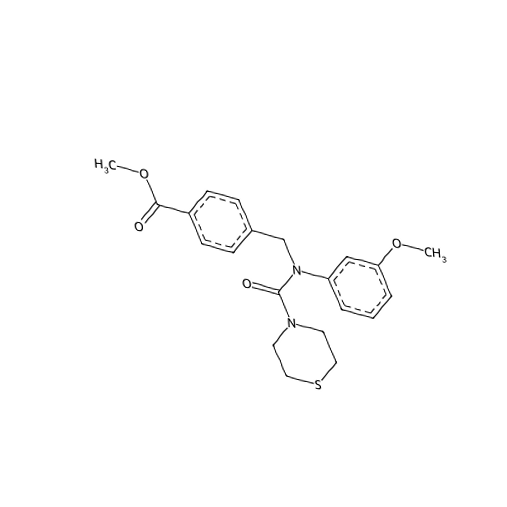 COC(=O)c1ccc(CN(C(=O)N2CCSCC2)c2cccc(OC)c2)cc1